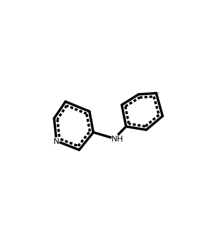 [c]1ccc(Nc2cccnc2)cc1